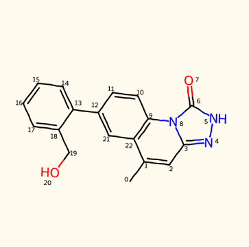 Cc1cc2n[nH]c(=O)n2c2ccc(-c3ccccc3CO)cc12